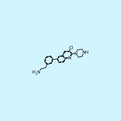 NCCc1cccc(-c2ccc3nc(N4CCNCC4)c(Cl)cc3c2)c1